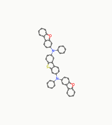 c1ccc(N(c2ccc3c(c2)sc2ccc(N(c4ccccc4)c4ccc5c(c4)oc4ccccc45)cc23)c2ccc3oc4ccccc4c3c2)cc1